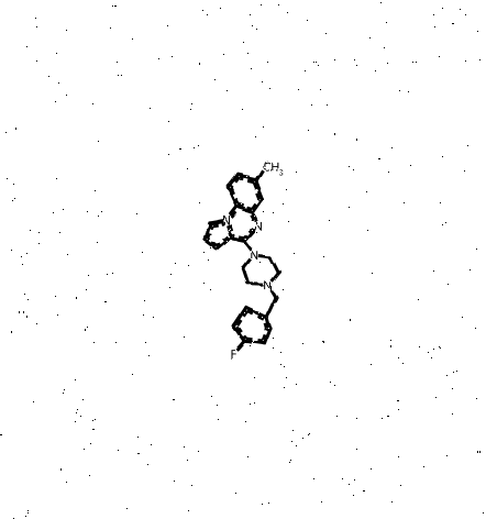 Cc1ccc2c(c1)nc(N1CCN(Cc3ccc(F)cc3)CC1)c1cccn12